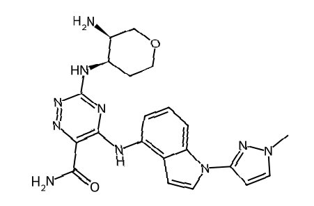 Cn1ccc(-n2ccc3c(Nc4nc(N[C@@H]5CCOC[C@@H]5N)nnc4C(N)=O)cccc32)n1